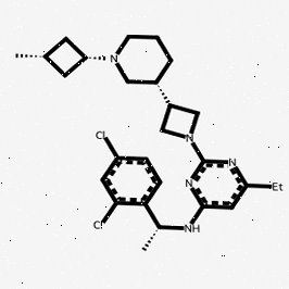 CCc1cc(N[C@H](C)c2ccc(Cl)cc2Cl)nc(N2CC([C@H]3CCCN([C@H]4C[C@@H](C)C4)C3)C2)n1